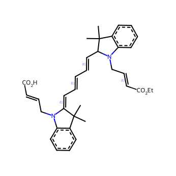 CCOC(=O)/C=C/CN1c2ccccc2C(C)(C)C1/C=C/C=C/C=C1/N(CC=CC(=O)O)c2ccccc2C1(C)C